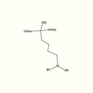 [CH2]CCCCCC(O)(CCCCC[CH2])CCCCN(C(C)C)C(C)C